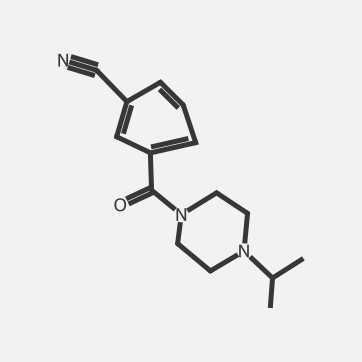 CC(C)N1CCN(C(=O)c2cccc(C#N)c2)CC1